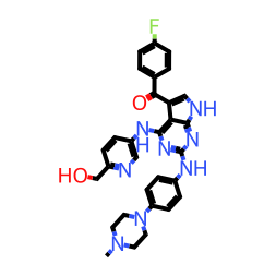 CN1CCN(c2ccc(Nc3nc(Nc4ccc(CO)nc4)c4c(C(=O)c5ccc(F)cc5)c[nH]c4n3)cc2)CC1